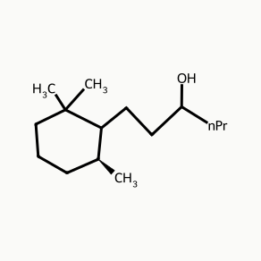 CCCC(O)CCC1[C@@H](C)CCCC1(C)C